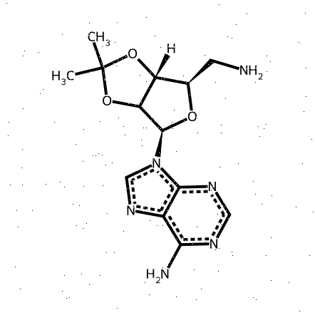 CC1(C)OC2[C@H](n3cnc4c(N)ncnc43)O[C@H](CN)[C@H]2O1